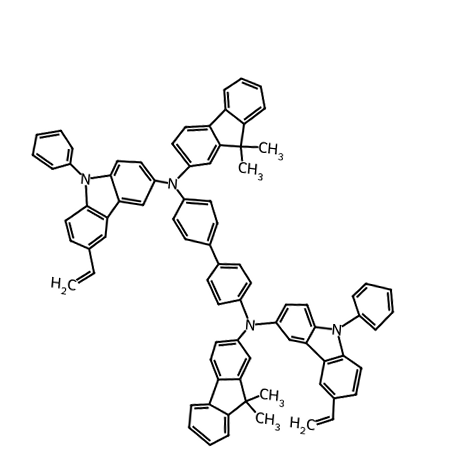 C=Cc1ccc2c(c1)c1cc(N(c3ccc(-c4ccc(N(c5ccc6c(c5)C(C)(C)c5ccccc5-6)c5ccc6c(c5)c5cc(C=C)ccc5n6-c5ccccc5)cc4)cc3)c3ccc4c(c3)C(C)(C)c3ccccc3-4)ccc1n2-c1ccccc1